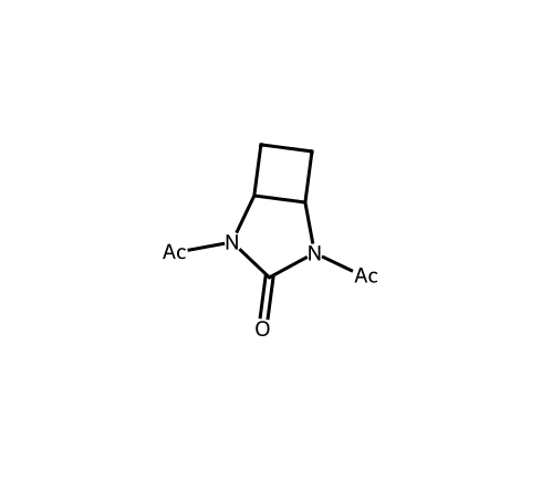 CC(=O)N1C(=O)N(C(C)=O)C2CCC21